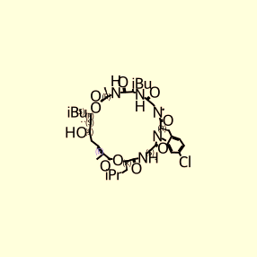 CCC(C)C1NC(=O)CN(C)C(=O)[C@@H](Cc2ccc(Cl)cc2)N(C)C(=O)[C@H](C)NC(=O)[C@@H](CC(C)C)OC(=O)/C(C)=C/C[C@H](O)[C@H](C)[C@@H]([C@@H](C)CC)OC(=O)[C@@H](C)NC1=O